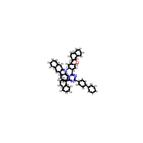 c1ccc(-c2ccc(-c3nc(-c4cc5oc6c7ccccc7ccc6c5cc4-n4c5ccccc5c5cc6ccccc6cc54)nc(-c4cccc5ccccc45)n3)cc2)cc1